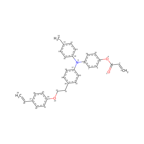 C=CC(=O)Oc1ccc(N(c2ccc(C)cc2)c2ccc(CCOc3ccc(C=C)cc3)cc2)cc1